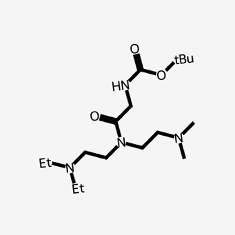 CCN(CC)CCN(CCN(C)C)C(=O)CNC(=O)OC(C)(C)C